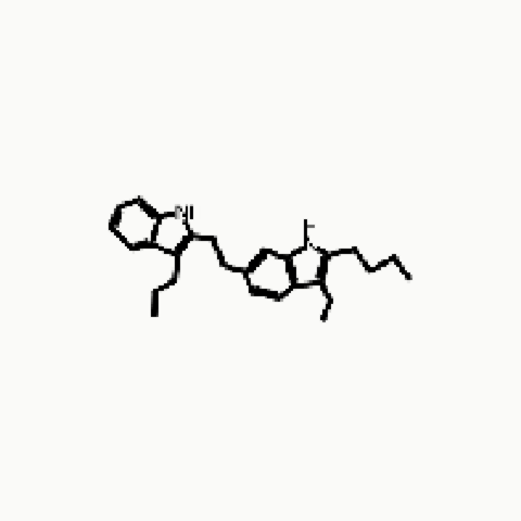 CCCCc1[nH]c2cc(CCc3[nH]c4ccccc4c3CCC)ccc2c1CC